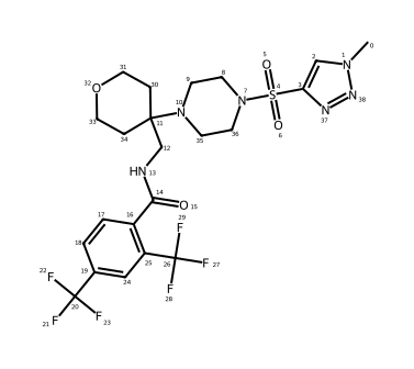 Cn1cc(S(=O)(=O)N2CCN(C3(CNC(=O)c4ccc(C(F)(F)F)cc4C(F)(F)F)CCOCC3)CC2)nn1